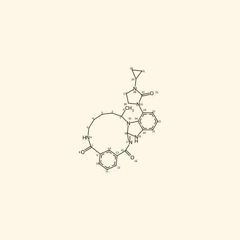 CC1CCCCNC(=O)c2cccc(c2)C(=O)/N=C2\Nc3cccc(N4CCN(C5CC5)C4=O)c3N21